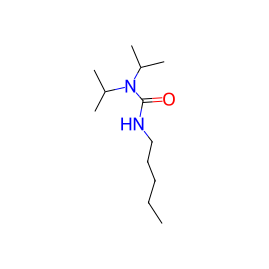 CCCCCNC(=O)N(C(C)C)C(C)C